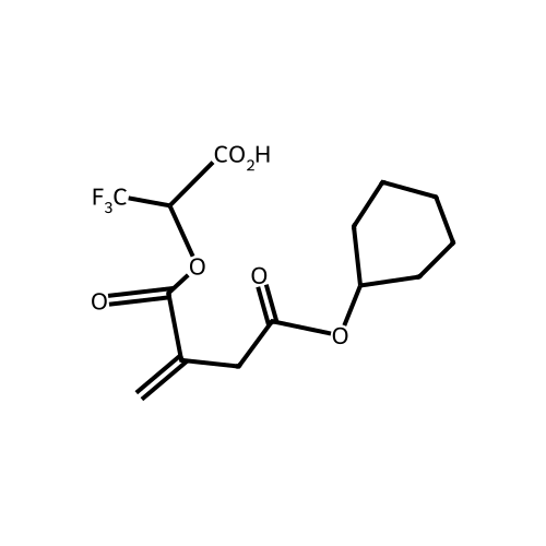 C=C(CC(=O)OC1CCCCC1)C(=O)OC(C(=O)O)C(F)(F)F